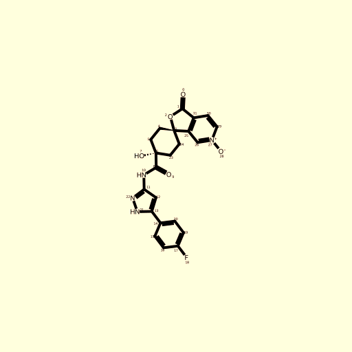 O=C1O[C@]2(CC[C@](O)(C(=O)Nc3cc(-c4ccc(F)cc4)[nH]n3)CC2)c2c[n+]([O-])ccc21